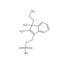 CCCC1(C)C(C)=[N+](CCS(=O)(=O)O)c2ccccc21